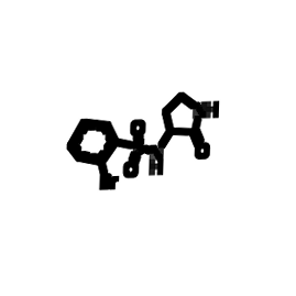 O=C1NCCC1NS(=O)(=O)c1ccccc1Br